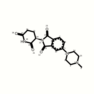 CN1CCN(c2ccc3c(c2)C(=O)N([C@@H]2CCC(=O)NC2=O)C3=O)CC1